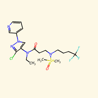 CCN(C(=O)CCN(CCCC(F)(F)F)[SH](C)(C)=O)c1cn(-c2cccnc2)nc1Cl